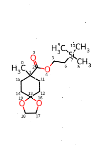 CC1(C(=O)OCC[Si](C)(C)C)CCC2(CC1)OCCO2